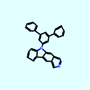 c1ccc(-c2cc(-c3ccccc3)cc(-n3c4ccccc4c4cc5cnccc5cc43)c2)cc1